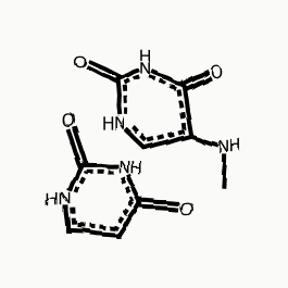 CNc1c[nH]c(=O)[nH]c1=O.O=c1cc[nH]c(=O)[nH]1